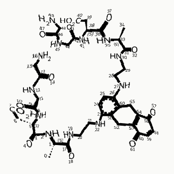 C[C@H](NC(=O)[C@H](CC(=O)O)NC(=O)CNC(=O)CN)C(=O)NCCNc1ccc(NCCNC(=O)[C@H](C)NC(=O)[C@H](CC(=O)O)NC(=O)CNC(=O)CN)c2c1CC1=C(C2)C(=O)C=CC1=O